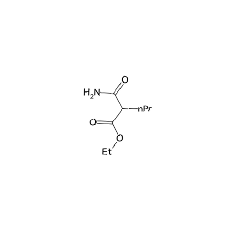 CCCC(C(N)=O)C(=O)OCC